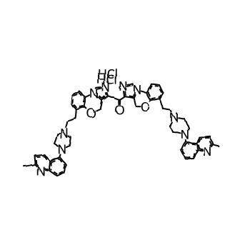 Cc1ccc2c(N3CCN(CCc4cccc5c4OCc4c(C(=O)c6ncn7c6COc6c(CCN8CCN(c9cccc%10nc(C)ccc9%10)CC8)cccc6-7)ncn4-5)CC3)cccc2n1.Cl.Cl